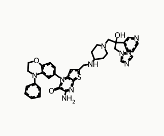 Nc1nc2sc(CNC3CCN(CC(O)(Cn4cncn4)c4cccnc4)CC3)cc2n(-c2ccc3c(c2)N(c2ccccc2)CCO3)c1=O